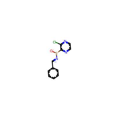 [O-][S+](/N=C/c1ccccc1)c1nccnc1Cl